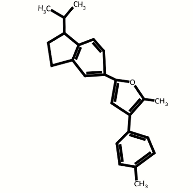 Cc1ccc(-c2cc(-c3ccc4c(c3)CCC4C(C)C)oc2C)cc1